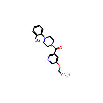 CC(C)(C)c1ccccc1N1CCN(C(=O)c2cncc(OCC(=O)O)c2)CC1